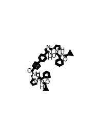 O=C(N[C@@H](C(=O)N1CCC[C@H]1CNC(=O)C12CCC(c3ccc(-c4cnc([C@@H]5CCCN5C(=O)[C@H](NC(=O)C5CC5)c5ccccc5)[nH]4)cc3)(CC1)CC2)c1ccccc1)C1CC1